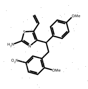 C=Cc1sc(N)nc1C(Cc1cc([N+](=O)[O-])ccc1OC)c1ccc(OC)cc1